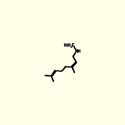 CCOC(=O)NC/C=C(/C)CCC=C(C)C